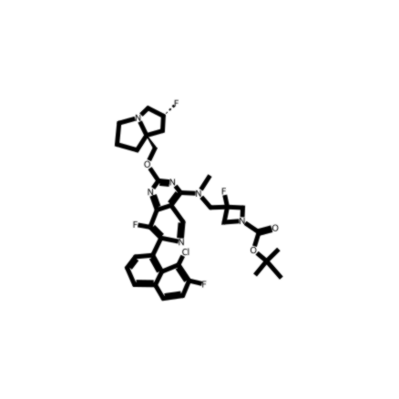 CN(CC1(F)CN(C(=O)OC(C)(C)C)C1)c1nc(OC[C@@]23CCCN2C[C@H](F)C3)nc2c(F)c(-c3cccc4ccc(F)c(Cl)c34)ncc12